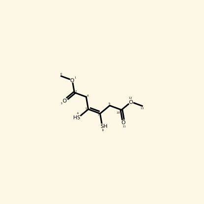 COC(=O)C/C(S)=C(/S)CC(=O)OC